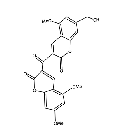 COc1cc(OC)c2cc(C(=O)c3cc4c(OC)cc(CO)cc4oc3=O)c(=O)oc2c1